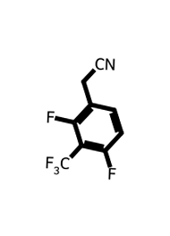 N#CCc1ccc(F)c(C(F)(F)F)c1F